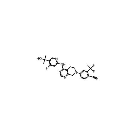 CC(C)(O)c1cnc(Nc2ncnc3c2CCN(c2ccc(C#N)c(C(F)(F)F)c2)C3)cc1F